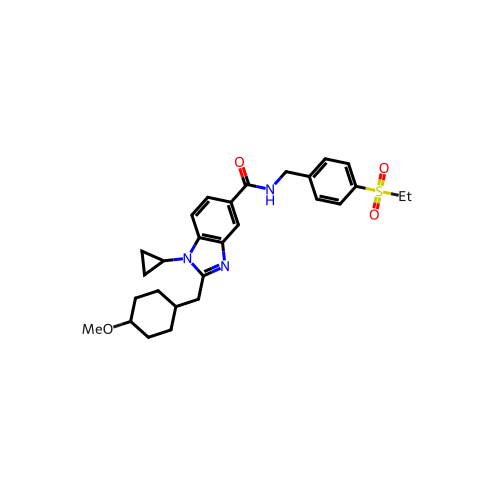 CCS(=O)(=O)c1ccc(CNC(=O)c2ccc3c(c2)nc(CC2CCC(OC)CC2)n3C2CC2)cc1